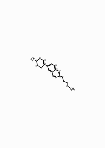 CCCCCc1ccc2cc(C3=CCC(C)CC3)ccc2c1